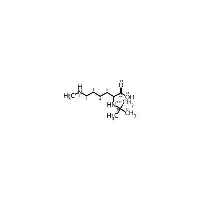 CNCCCCC(NC(C)(C)C)C(=O)O